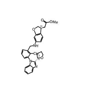 COC(=O)C[C@@H]1COc2cc(NCc3cccc(-n4c([C@@H]5CCCO5)nc5ccccc54)c3C)ccc21